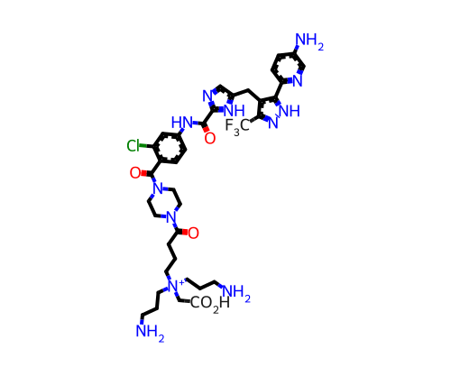 NCCC[N+](CCCN)(CCCC(=O)N1CCN(C(=O)c2ccc(NC(=O)c3ncc(Cc4c(C(F)(F)F)n[nH]c4-c4ccc(N)cn4)[nH]3)cc2Cl)CC1)CC(=O)O